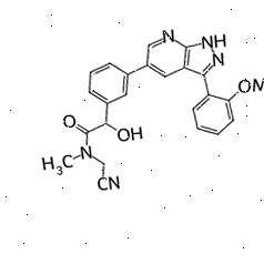 COc1ccccc1-c1n[nH]c2ncc(-c3cccc(C(O)C(=O)N(C)CC#N)c3)cc12